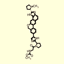 COC(=O)NCC(=O)N1CCCC1c1ncc(-c2ccc3c(c2)COc2cc4c(ccc5nc([C@@H]6CCCN6C)[nH]c54)cc2-3)[nH]1